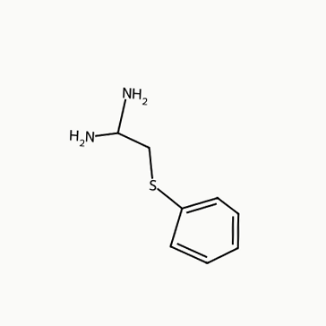 NC(N)CSc1ccccc1